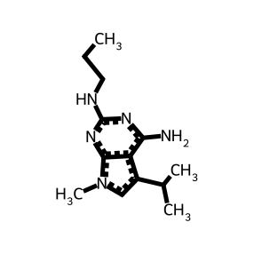 CCCNc1nc(N)c2c(C(C)C)cn(C)c2n1